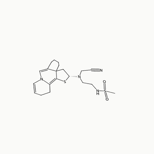 CS(=O)(=O)NCCN(CC#N)[C@H]1CC23CCCCC2=CN2C=CCCC2=C3S1